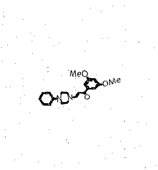 COc1cc(OC)cc(C(=O)C=CN2CCN(C3CCCCC3)CC2)c1